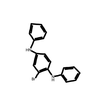 Brc1cc(Nc2ccccc2)ccc1Nc1ccccc1